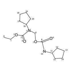 CCOC(=O)N(COC(=O)[N]C1CCCC1)C1CCCC1